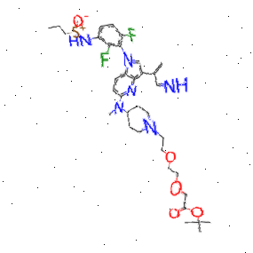 C=C(C=N)c1cn(-c2c(F)ccc(N[S+]([O-])CCC)c2F)c2ccc(N(C)C3CCN(CCOCCOCC(=O)OC(C)(C)C)CC3)nc12